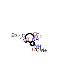 CCOC(=O)C1CCC[C@@H](C)C(=O)Nc2cc(NC(=O)OC)ccc2-c2cnc1o2